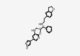 Cn1cc(-c2cnc3c(c2)NC[C@@H]([C@H](NCCc2ccc4c(c2)CCO4)c2ccccc2)O3)cn1